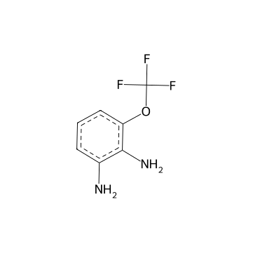 Nc1cccc(OC(F)(F)F)c1N